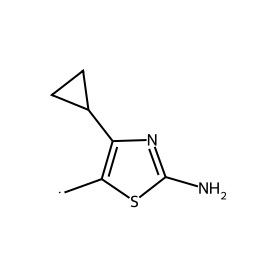 [CH2]c1sc(N)nc1C1CC1